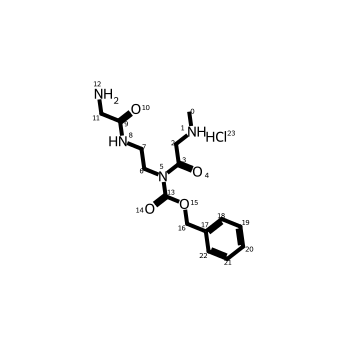 CNCC(=O)N(CCNC(=O)CN)C(=O)OCc1ccccc1.Cl